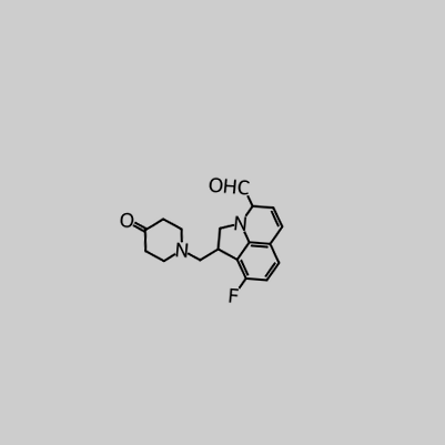 O=CC1C=Cc2ccc(F)c3c2N1CC3CN1CCC(=O)CC1